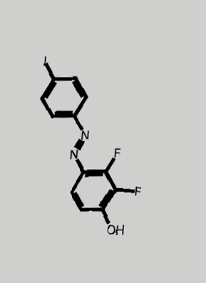 Oc1ccc(N=Nc2ccc(I)cc2)c(F)c1F